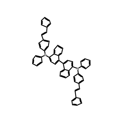 C(=Cc1ccc(N(c2ccccc2)c2ccc(-c3ccc(N(c4ccccc4)c4ccc(C=Cc5ccccc5)cc4)c4ccccc34)c3ccccc23)cc1)c1ccccc1